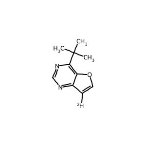 [2H]c1coc2c(C(C)(C)C)ncnc12